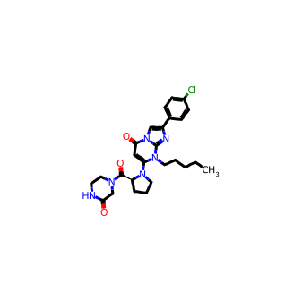 CCCCCn1c(N2CCC[C@H]2C(=O)N2CCNC(=O)C2)cc(=O)n2cc(-c3ccc(Cl)cc3)nc12